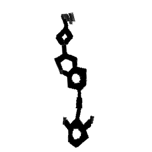 O=C(O)C1CN(C2COc3cc(C#Cc4c(F)cccc4F)ccc3C2)C1